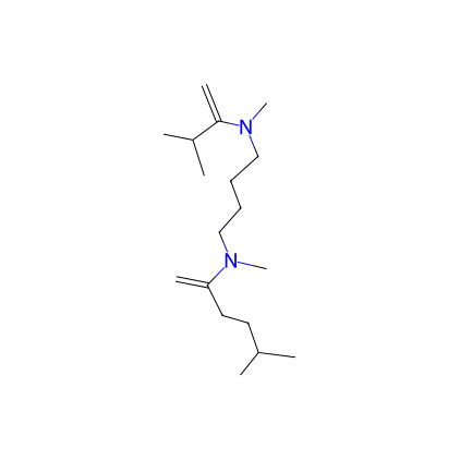 C=C(CCC(C)C)N(C)CCCCN(C)C(=C)C(C)C